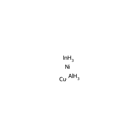 [AlH3].[Cu].[InH3].[Ni]